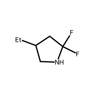 CCC1CNC(F)(F)C1